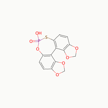 O=P1(O)Oc2ccc3c(c2-c2c(ccc4c2OCO4)S1)OCO3